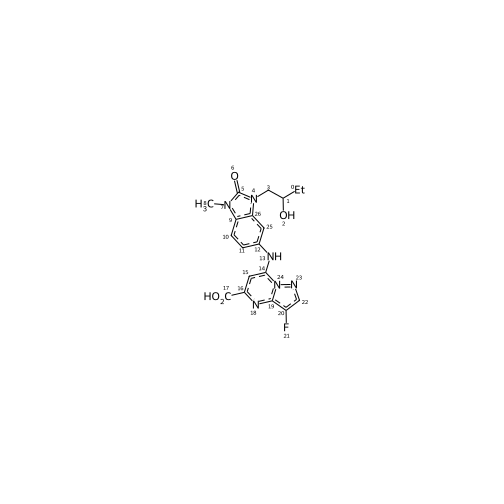 CCC(O)Cn1c(=O)n(C)c2ccc(Nc3cc(C(=O)O)nc4c(F)cnn34)cc21